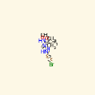 C=C([C@@H](NC(=O)OC)C(C)C)N1CCC[C@H]1c1ncc(C2=CC3SC(Br)=CC3S2)[nH]1